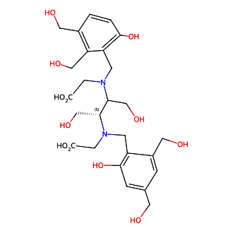 O=C(O)CN(Cc1c(O)ccc(CO)c1CO)C(CO)[C@@H](CO)N(CC(=O)O)Cc1c(O)cc(CO)cc1CO